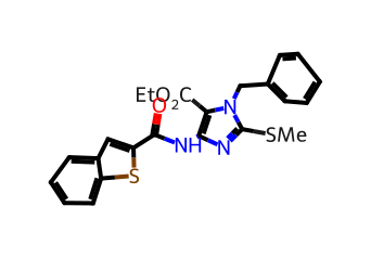 CCOC(=O)c1c(NC(=O)c2cc3ccccc3s2)nc(SC)n1Cc1ccccc1